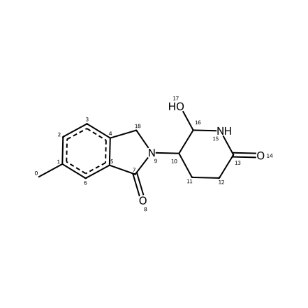 Cc1ccc2c(c1)C(=O)N(C1CCC(=O)NC1O)C2